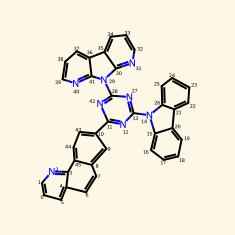 c1cnc2c(c1)ccc1cc(-c3nc(-n4c5ccccc5c5ccccc54)nc(-n4c5ncccc5c5cccnc54)n3)ccc12